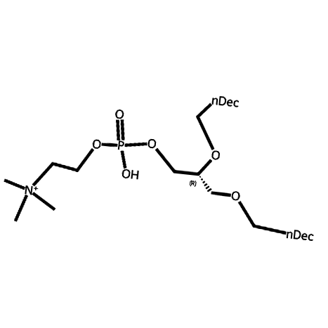 CCCCCCCCCCCOC[C@H](COP(=O)(O)OCC[N+](C)(C)C)OCCCCCCCCCCC